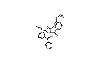 C=CCCC(N=C(c1ccccc1)c1ccccc1)(C(=O)OCCCC)C(=O)c1ccccc1